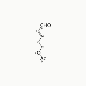 CC(=O)OCCC=CC=O